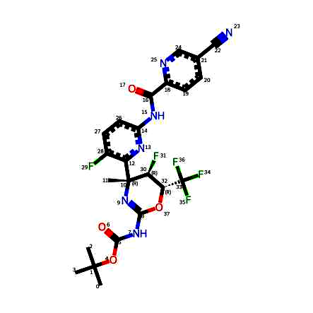 CC(C)(C)OC(=O)NC1=N[C@](C)(c2nc(NC(=O)c3ccc(C#N)cn3)ccc2F)[C@@H](F)[C@H](C(F)(F)F)O1